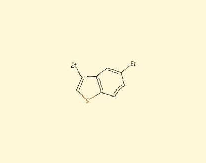 CCc1ccc2scc(CC)c2c1